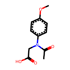 COc1ccc(N(CC(=O)O)C(C)=O)cc1